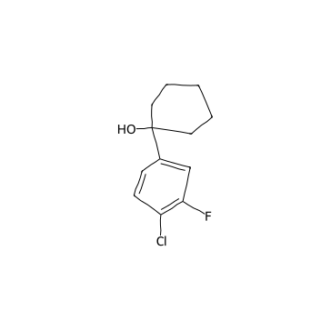 OC1(c2ccc(Cl)c(F)c2)CCCCC1